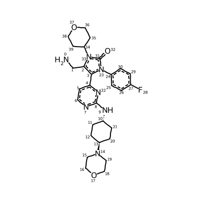 NCc1c(-c2ccnc(N[C@H]3CC[C@H](N4CCOCC4)CC3)n2)n(-c2ccc(F)cc2)c(=O)n1C1CCOCC1